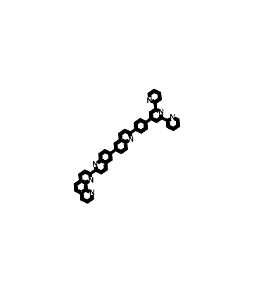 c1ccc(-c2cc(-c3ccc(-c4ccc5cc(-c6ccc7nc(-c8ccc9ccc%10cccnc%10c9n8)ccc7c6)ccc5n4)cc3)cc(-c3ccccn3)n2)nc1